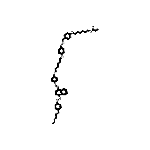 C=CC(=O)OCCCCCCOC1=CC=C(COOc2ccc(OCCCCCCOc3ccc(N=Nc4ccc(N=Nc5ccc(CCCCCC)cc5)c5ccccc45)cc3)cc2)CC1